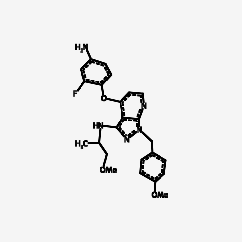 COCC(C)Nc1nn(Cc2ccc(OC)cc2)c2nccc(Oc3ccc(N)cc3F)c12